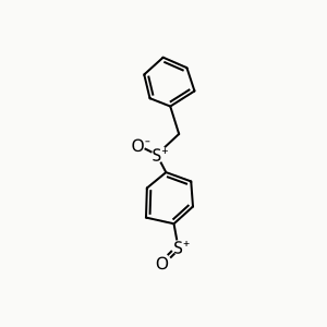 O=[S+]c1ccc([S+]([O-])Cc2ccccc2)cc1